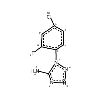 Nc1nnnn1-c1ccc(Cl)cc1F